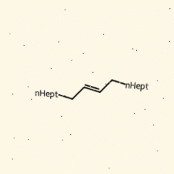 CCCCCCCC/C=C/CCCCCCCC